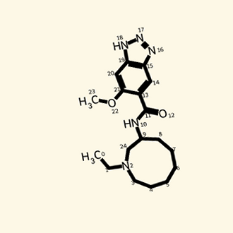 CCN1CCCCCCC(NC(=O)c2cc3nn[nH]c3cc2OC)C1